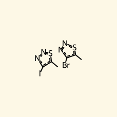 Cc1snnc1Br.Cc1snnc1I